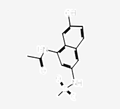 CC(=O)Nc1cc(NS(C)(=O)=O)cc2ccc(O)cc12